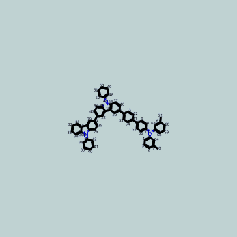 Cc1cccc(N(c2ccc(-c3ccc(-c4ccc5c(c4)c4cc(-c6ccc7c(c6)c6ccccc6n7-c6ccccc6)ccc4n5-c4ccccc4)cc3)cc2)c2cccc(C)c2)c1